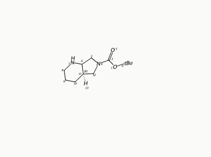 CC(C)(C)OC(=O)N1CC2NCCC[C@@H]2C1